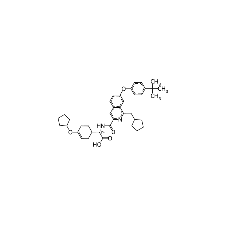 CC(C)(C)c1ccc(Oc2ccc3cc(C(=O)N[C@H](C(=O)O)C4C=CC(OC5CCCC5)=CC4)nc(CC4CCCC4)c3c2)cc1